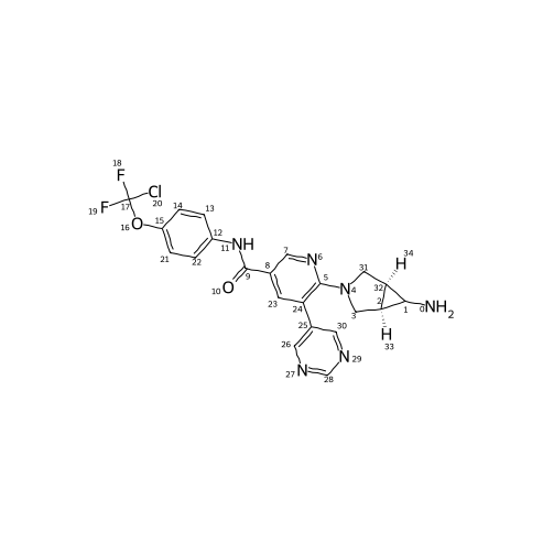 NC1[C@H]2CN(c3ncc(C(=O)Nc4ccc(OC(F)(F)Cl)cc4)cc3-c3cncnc3)C[C@@H]12